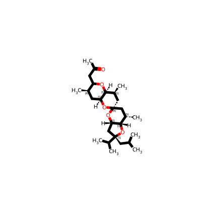 CC(=O)CC1O[C@@H]2[C@H](C[C@H]1C)O[C@@]1(C[C@@H]2C)C[C@H](C)[C@@H]2O[C@](CC(C)C)(C(C)C)C[C@@H]2O1